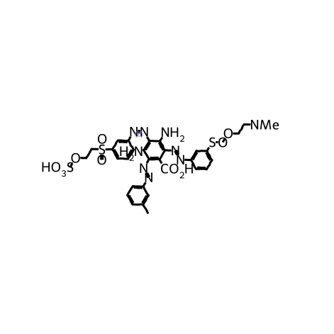 CNCCOOSc1cccc(N=Nc2c(N)c(/N=N\c3cccc(S(=O)(=O)CCOS(=O)(=O)O)c3)c(N)c(N=Nc3cccc(C)c3)c2C(=O)O)c1